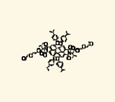 CC(C)c1ccc(Oc2cc3c4c(cc(Oc5ccc(C(C)C)cc5)c5c6c(Oc7ccc(C(C)C)cc7)cc7c8c(cc(Oc9ccc(C(C)C)cc9)c(c2c45)c86)C(=O)N(C(C(=O)OCCOCC2CO2)C(C)C)C7=O)C(=O)N(C(C(=O)OCCOCC2CO2)C(C)C)C3=O)cc1